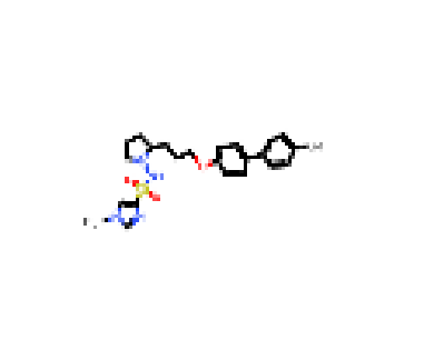 Cn1cnc(S(=O)(=O)NN2CCCC2CCCOc2ccc(-c3ccc(C#N)cc3)cc2)c1